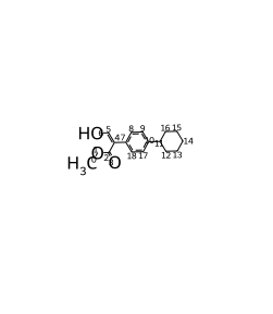 COC(=O)C(=CO)c1ccc(C2CCCCC2)cc1